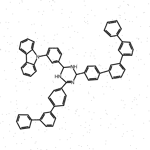 c1ccc(-c2cccc(-c3ccc(C4=NC(c5ccc(-c6cccc(-c7cccc(-c8ccccc8)c7)c6)cc5)NC(c5cccc(-n6c7ccccc7c7ccccc76)c5)N4)cc3)c2)cc1